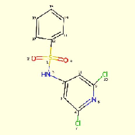 O=S(=O)(Nc1cc(Cl)nc(Cl)c1)c1cc[c]cc1